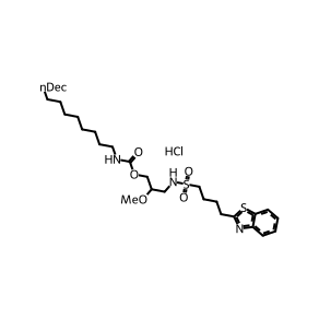 CCCCCCCCCCCCCCCCCCNC(=O)OCC(CNS(=O)(=O)CCCCc1nc2ccccc2s1)OC.Cl